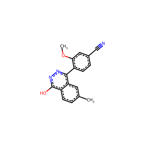 COc1cc(C#N)ccc1-c1nnc(O)c2ccc(C)cc12